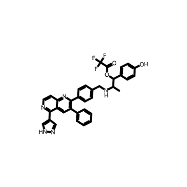 CC(NCc1ccc(-c2nc3ccnc(-c4cn[nH]c4)c3cc2-c2ccccc2)cc1)C(OC(=O)C(F)(F)F)c1ccc(O)cc1